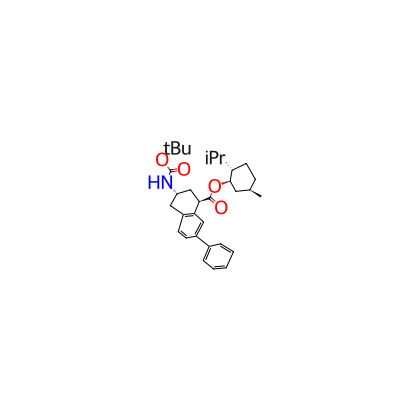 CC(C)[C@@H]1CC[C@@H](C)C[C@H]1OC(=O)[C@@H]1C[C@@H](NC(=O)OC(C)(C)C)Cc2ccc(-c3ccccc3)cc21